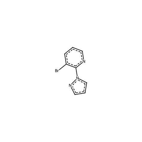 Brc1cccnc1-n1cccn1